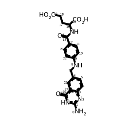 Nc1nc2ccc(CNc3ccc(C(=O)NC(CCC(=O)O)C(=O)O)cc3)cc2c(=O)[nH]1